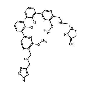 C=C1CC[C@@H](CNCc2ncc(-c3cccc(-c4cccc(-c5cnc(CNCc6c[nH]nn6)c(OC)n5)c4Cl)c3Cl)nc2OC)N1